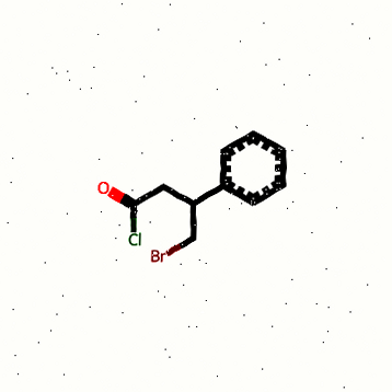 O=C(Cl)CC(CBr)c1ccccc1